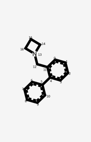 [c]1cccc(-c2ccccc2)c1CN1CCC1